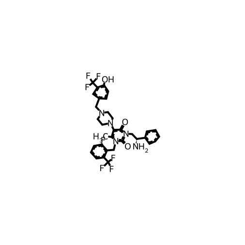 Cc1c(N2CCN(Cc3ccc(O)c(C(F)(F)F)c3)CC2)c(=O)n(C[C@@H](N)c2ccccc2)c(=O)n1Cc1c(F)cccc1C(F)(F)F